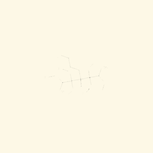 CCOC(OC)C(OCC)(OCC)C(CCCC(=O)O)(C(=O)O)C(OCC)(OCC)C(OC)OCC